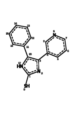 Sc1nc(-c2cccnc2)c(-c2ccccc2)[nH]1